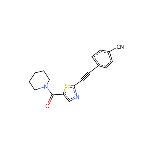 N#Cc1ccc(C#Cc2ncc(C(=O)N3CCCCC3)s2)cc1